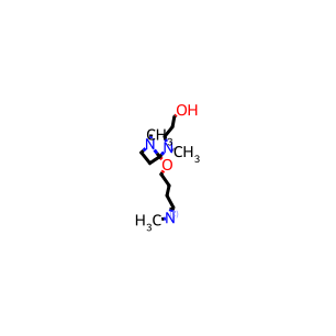 C/N=C\CCCOC1(N(C)CCCO)CCN1C